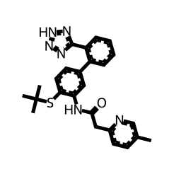 Cc1ccc(CC(=O)Nc2cc(-c3ccccc3-c3nn[nH]n3)ccc2SC(C)(C)C)nc1